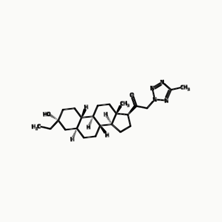 CC[C@@]1(O)CC[C@H]2[C@@H](CC[C@@H]3[C@@H]2CC[C@]2(C)[C@@H](C(=O)Cn4nnc(C)n4)CC[C@@H]32)C1